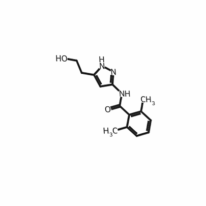 Cc1cccc(C)c1C(=O)Nc1cc(CCO)[nH]n1